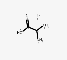 CC(N)C(=O)O.[Er]